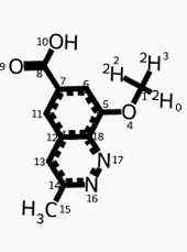 [2H]C([2H])([2H])Oc1cc(C(=O)O)cc2cc(C)nnc12